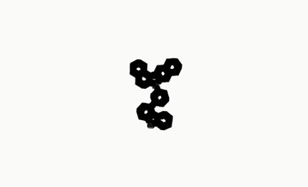 c1cc(-c2cccc3oc4ccccc4c23)cc(-n2c3cc4ccccc4cc3c3c4ccccc4ccc32)c1